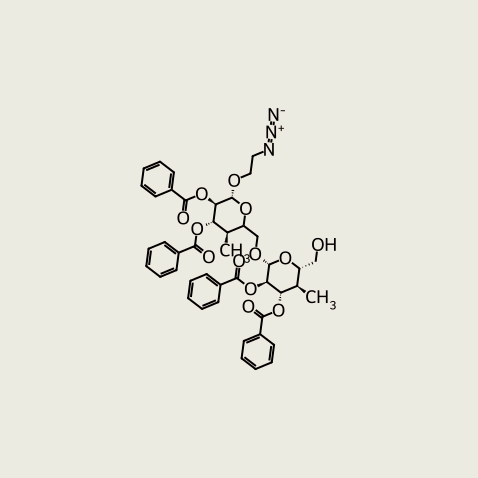 C[C@H]1[C@H](OC(=O)c2ccccc2)[C@@H](OC(=O)c2ccccc2)[C@H](OCC2O[C@@H](OCCN=[N+]=[N-])[C@H](OC(=O)c3ccccc3)[C@@H](OC(=O)c3ccccc3)[C@@H]2C)O[C@@H]1CO